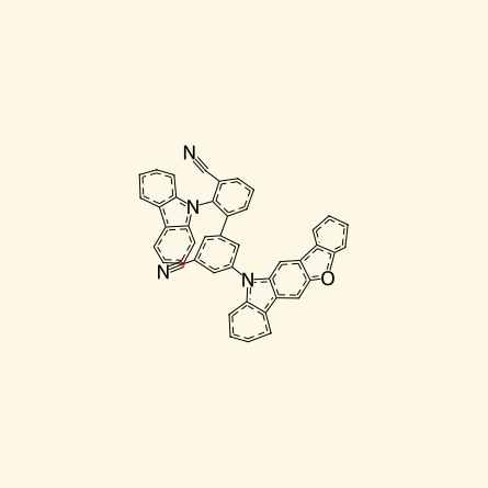 N#Cc1cc(-c2cccc(C#N)c2-n2c3ccccc3c3ccccc32)cc(-n2c3ccccc3c3cc4oc5ccccc5c4cc32)c1